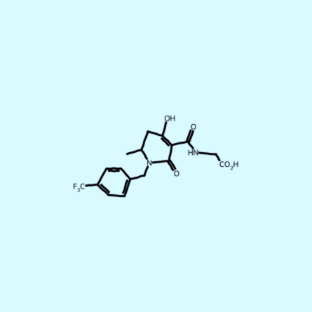 CC1CC(O)=C(C(=O)NCC(=O)O)C(=O)N1Cc1ccc(C(F)(F)F)cc1